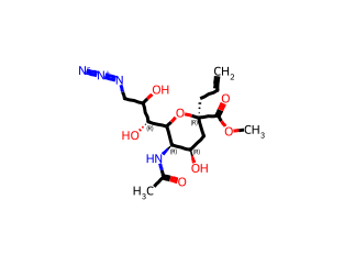 C=CC[C@]1(C(=O)OC)C[C@@H](O)[C@@H](NC(C)=O)C([C@H](O)C(O)CN=[N+]=[N-])O1